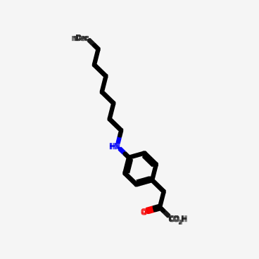 CCCCCCCCCCCCCCCCCNc1ccc(CC(=O)C(=O)O)cc1